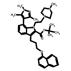 Cc1nn(C)c(C)c1-c1cccc2c(CCCOc3cccc4ccccc34)c(C(=O)OC(C)(C)C)n(CCN3CCN(C)CC3)c12